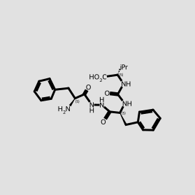 CC(C)[C@H](NC(=O)N[C@@H](Cc1ccccc1)C(=O)NNC(=O)[C@@H](N)Cc1ccccc1)C(=O)O